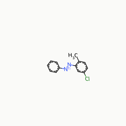 Cc1ccc(Cl)cc1/N=N/c1ccccc1